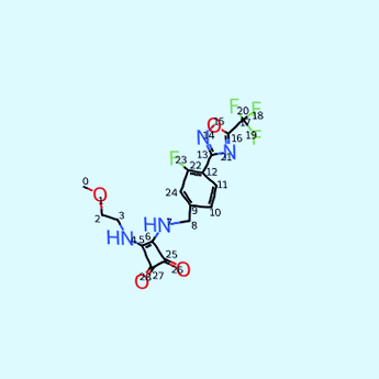 COCCNc1c(NCc2ccc(-c3noc(C(F)(F)F)n3)c(F)c2)c(=O)c1=O